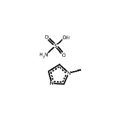 Cn1ccnc1.NS(=O)(=O)O